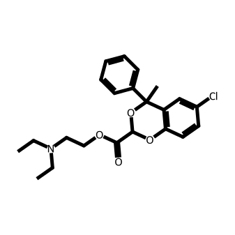 CCN(CC)CCOC(=O)C1Oc2ccc(Cl)cc2C(C)(c2ccccc2)O1